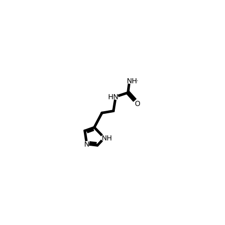 [NH]C(=O)NCCc1cnc[nH]1